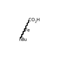 CCCCC=CC=CC=CCCCCCCCC(=O)O.[Fe]